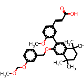 COCOc1cccc(COc2cc3c(cc2-c2cc(C=CC(=O)O)ccc2OC)C(C)(C)CCC3(C)C)c1